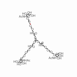 CC(=O)NC1C(OCCOCCOCCOCCNC(=O)CCOCC(C)(COCCC(=O)NCCOCCOCCOCCOC2OC(CO)C(O)C(O)C2NC(C)=O)COCCC(=O)NCCOCCOCCOCCOC2OC(CO)C(O)C(O)C2NC(C)=O)OC(CO)C(O)C1O